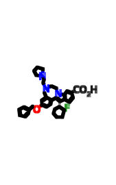 O=C(O)c1ccc2c([C@H]3CCCC[C@@H]3F)c3n(c2c1)CCN(CCN1CCCC1)Cc1cc(OCc2ccccc2)ccc1-3